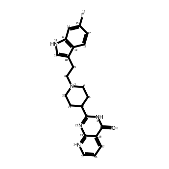 O=c1[nH]c(C2CCN(CCc3c[nH]c4cc(F)ccc34)CC2)nc2ncccc12